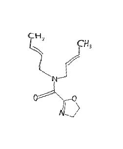 CC=CCN(CC=CC)C(=O)C1=NCCO1